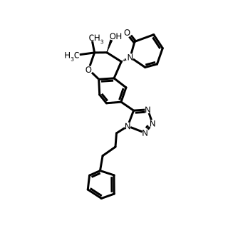 CC1(C)Oc2ccc(-c3nnnn3CCCc3ccccc3)cc2[C@@H](n2ccccc2=O)[C@@H]1O